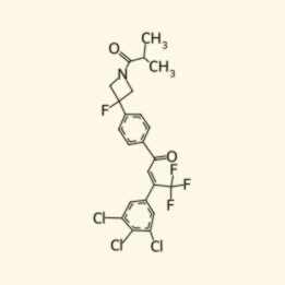 CC(C)C(=O)N1CC(F)(c2ccc(C(=O)C=C(c3cc(Cl)c(Cl)c(Cl)c3)C(F)(F)F)cc2)C1